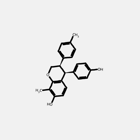 Cc1ccc([C@@H]2COc3c(ccc(O)c3C)[C@@H]2c2ccc(O)cc2)cc1